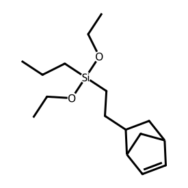 CCC[Si](CCC1CC2C=CC1C2)(OCC)OCC